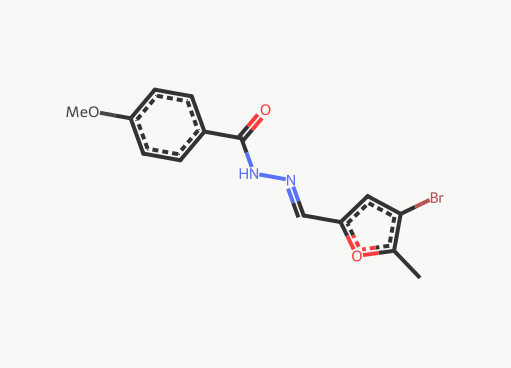 COc1ccc(C(=O)N/N=C/c2cc(Br)c(C)o2)cc1